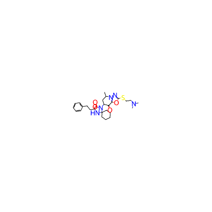 CC(C)CC(C(=O)c1nnc(SCCN(C)C)o1)N(C=O)C1(NC(=O)CCc2ccccc2)CCCCC1